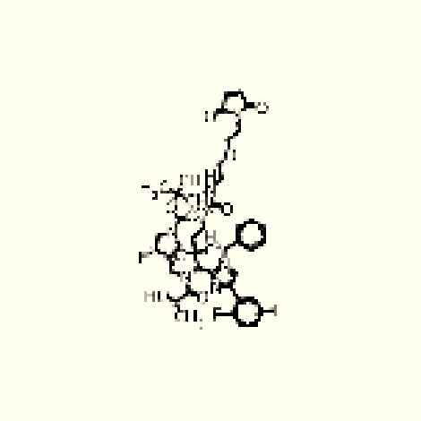 C[C@H](O)C(=O)N(C[C@@H]1CN(C(=O)OC(C)(C)C)C[C@@H]1F)[C@@H](c1nc(-c2cc(F)ccc2F)cn1Cc1ccccc1)C(C)(C)CCOC(=O)NCCOCCN1C(=O)C=CC1=O